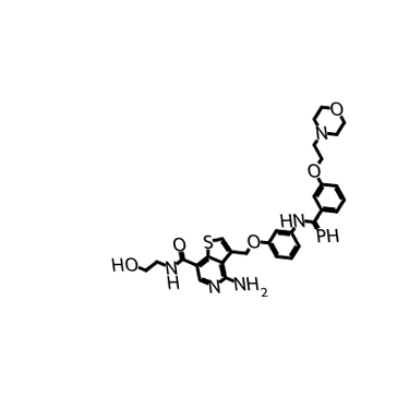 Nc1ncc(C(=O)NCCO)c2scc(COc3cccc(NC(=P)c4cccc(OCCN5CCOCC5)c4)c3)c12